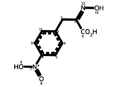 O=C(O)/C(Cc1ccc([N+](=O)O)cc1)=N\O